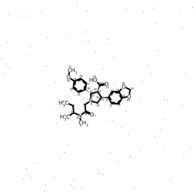 CCC(C)N(C)C(=O)CN1C[C@H](c2ccc3c(c2)OCO3)[C@H](C(=O)O)[C@H]1c1ccc(OC)cc1